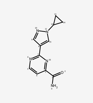 NC(=O)c1ccnc(-c2cnn(C3CC3)c2)n1